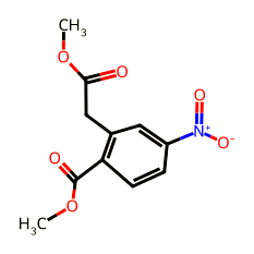 COC(=O)Cc1cc([N+](=O)[O-])ccc1C(=O)OC